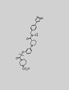 CC(C)(Oc1cccc(N2CCCC(C(=O)N(Cc3ccc(-c4cn[nH]c4)cc3)C3CC3)C2)c1)C(=O)N1CCCN(C(=O)O)CC1